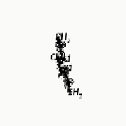 C=CCOC(=O)OCCOc1c(Cl)cc(Sc2cc(Cl)c(OCCOC(=O)OCC=C)c(Cl)c2)cc1Cl